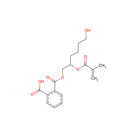 C=C(C)C(=O)OC(CCCCO)COC(=O)c1ccccc1C(=O)O